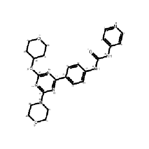 O=C(Nc1ccncc1)Nc1ccc(-c2nc(OC3CCOCC3)nc(N3CCOCC3)n2)cc1